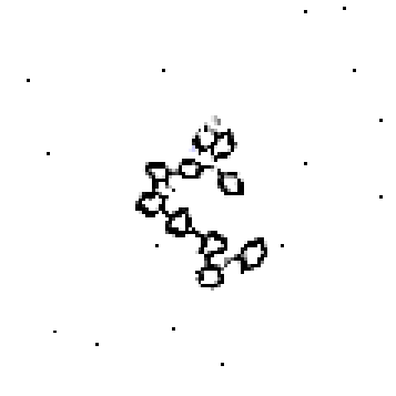 C/C=C\c1c(C)cccc1N(c1ccc(-c2cccc3c2oc2c(-c4ccc(-c5ccc6c(c5)c5c(n6-c6ccccc6)CCC=C5)cc4)cccc23)cc1)C1C=CC=CC1